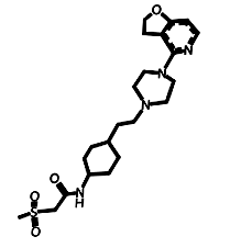 CS(=O)(=O)CC(=O)NC1CCC(CCN2CCN(c3nccc4c3CCO4)CC2)CC1